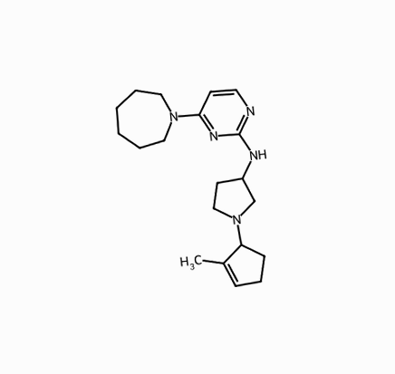 CC1=CCCC1N1CCC(Nc2nccc(N3CCCCCC3)n2)C1